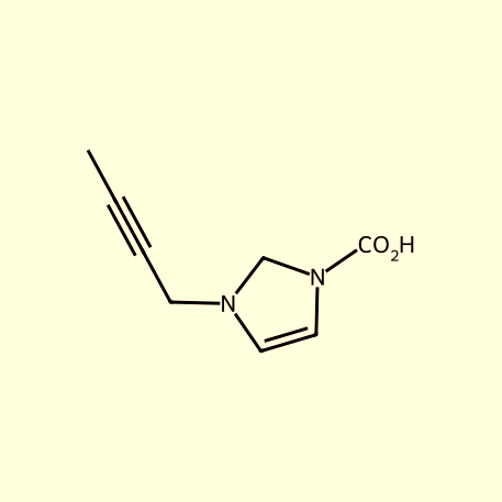 CC#CCN1C=CN(C(=O)O)C1